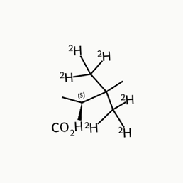 [2H]C([2H])([2H])C(C)([C@H](C)C(=O)O)C([2H])([2H])[2H]